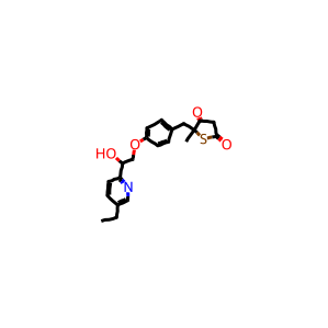 CCc1ccc(C(O)COc2ccc(CC3(C)SC(=O)CC3=O)cc2)nc1